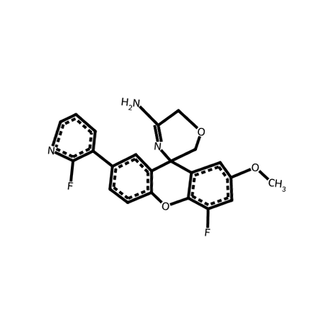 COc1cc(F)c2c(c1)C1(COCC(N)=N1)c1cc(-c3cccnc3F)ccc1O2